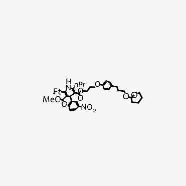 CCCC1=C(C(=O)OCCCOc2ccc(CCCOC3CCCCO3)cc2)C(c2cccc([N+](=O)[O-])c2)C(C(=O)OC)=C(CC)N1